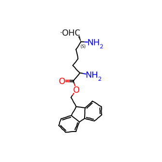 NC(CCC[C@H](N)[C]=O)C(=O)OCC1c2ccccc2-c2ccccc21